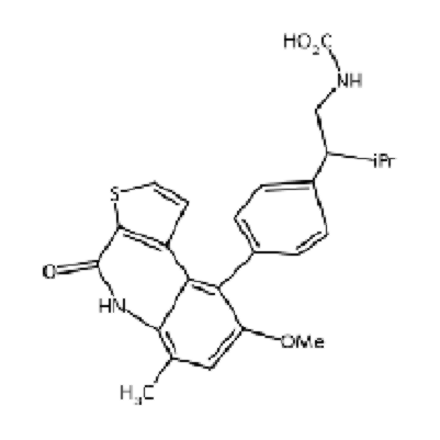 COc1cc(C)c2[nH]c(=O)c3sccc3c2c1-c1ccc(C(CNC(=O)O)C(C)C)cc1